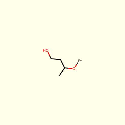 [CH2]C(CCO)OCC